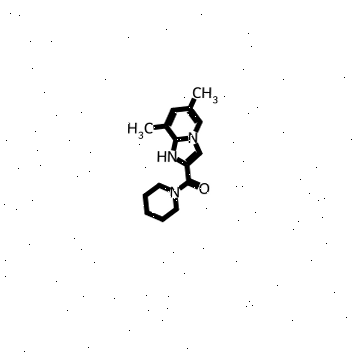 CC1=CN2C=C(C(=O)N3CCCCC3)NC2C(C)=C1